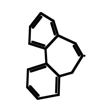 [C]1=Cc2ccccc2-c2ccccc2C1